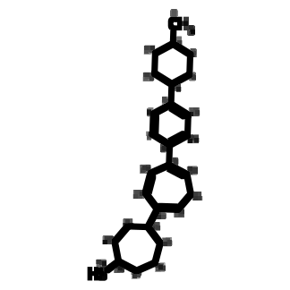 CC1CCC(c2ccc(C3=CCC=C(C4CCCC(S)CC4)C=C3)cc2)CC1